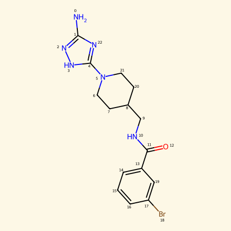 Nc1n[nH]c(N2CCC(CNC(=O)c3cccc(Br)c3)CC2)n1